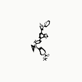 CC(C)(C)OC(=O)N1CCC(N(c2ccc(-c3ccc(-c4cnn(C5CCCCO5)c4)c4ncsc34)nn2)C2CC2)CC1